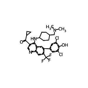 CN(C)CC1CCC(Nc2c(C(=O)C3CC3)cnc3cc(C(F)(F)F)c(-c4cc(Cl)c(O)c(Cl)c4)cc23)CC1